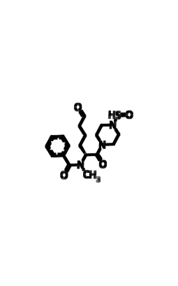 CN(C(=O)c1ccccc1)[C@@H](CCCC=O)C(=O)N1CCN([SH]=O)CC1